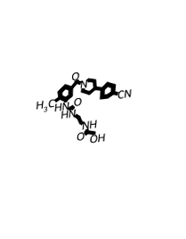 Cc1ccc(C(=O)N2CCC(c3ccc(C#N)cc3)CC2)cc1NC(=O)NCCNC(=O)CO